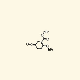 CCCOC(=O)C1=C(OCCC)C=CC(=C=O)C1